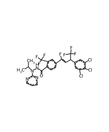 CC(C)N(NC(=O)c1ccc(C(F)=CC(c2cc(Cl)c(Cl)c(Cl)c2)C(F)(F)F)cc1C(F)(F)F)c1ncccn1